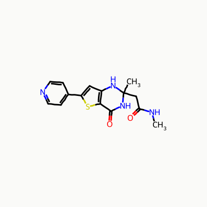 CNC(=O)CC1(C)NC(=O)c2sc(-c3ccncc3)cc2N1